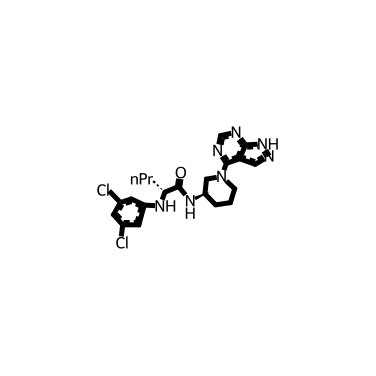 CCC[C@@H](Nc1cc(Cl)cc(Cl)c1)C(=O)N[C@@H]1CCCN(c2ncnc3[nH]ncc23)C1